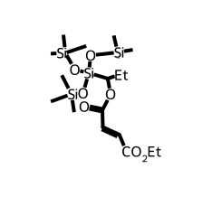 CCOC(=O)C=CC(=O)OC(CC)[Si](O[Si](C)(C)C)(O[Si](C)(C)C)O[Si](C)(C)C